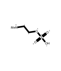 CNCCOS(=O)(=O)O